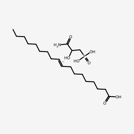 CCCCCCCC/C=C/CCCCCCCC(=O)O.NC(=O)C(O)CP(=O)(O)O